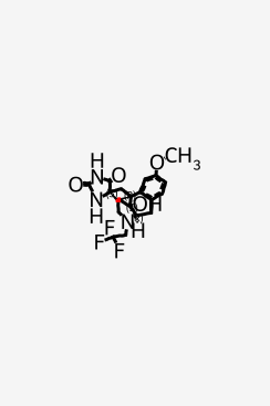 COc1ccc2c(c1)[C@]13CCN(CC(F)(F)F)[C@H](C2)[C@]1(O)CC[C@@]1(C3)NC(=O)NC1=O